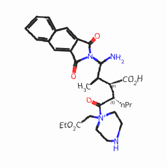 CCC[C@H](C(=O)[N+]1(CC(=O)OCC)CCNCC1)[C@H](C(=O)O)C(C)C(N)N1C(=O)c2cc3ccccc3cc2C1=O